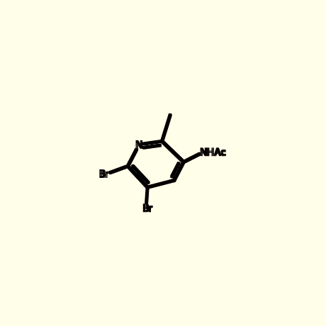 CC(=O)Nc1cc(Br)c(Br)nc1C